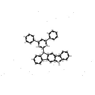 c1ccc(-c2cc(-c3ccccc3)nc(C3c4ccccc4-c4cc5sc6ccccc6c5cc43)n2)cc1